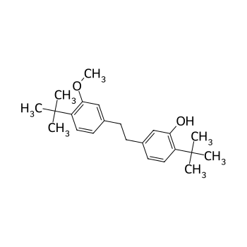 COc1cc(CCc2ccc(C(C)(C)C)c(O)c2)ccc1C(C)(C)C